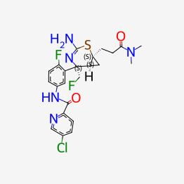 CN(C)C(=O)CC[C@]12C[C@H]1[C@@](CF)(c1cc(NC(=O)c3ccc(Cl)cn3)ccc1F)N=C(N)S2